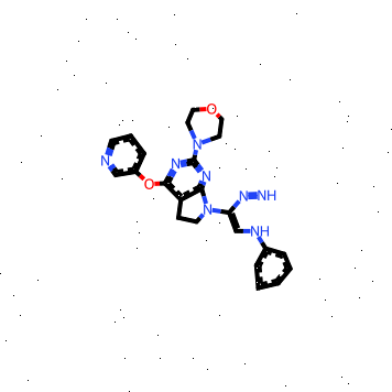 N=N/C(=C\Nc1ccccc1)N1CCc2c(Oc3cccnc3)nc(N3CCOCC3)nc21